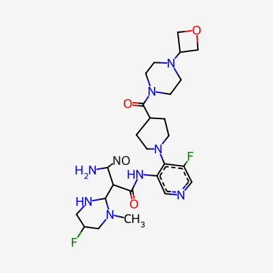 CN1CC(F)CNC1C(C(=O)Nc1cncc(F)c1N1CCC(C(=O)N2CCN(C3COC3)CC2)CC1)C(N)N=O